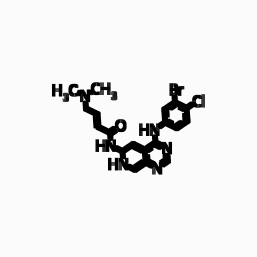 CN(C)C/C=C/C(=O)NC1C=c2c(Nc3ccc(Cl)c(Br)c3)ncnc2=CN1